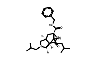 CC(C)CC[C@@H]1[C@@H]2[C@@H]3C(=O)N[C@@]1(C(=O)NCc1ccccc1)C[C@@H]3CN2CC(C)C